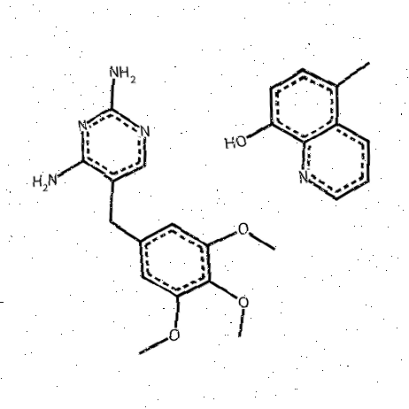 COc1cc(Cc2cnc(N)nc2N)cc(OC)c1OC.Cc1ccc(O)c2ncccc12